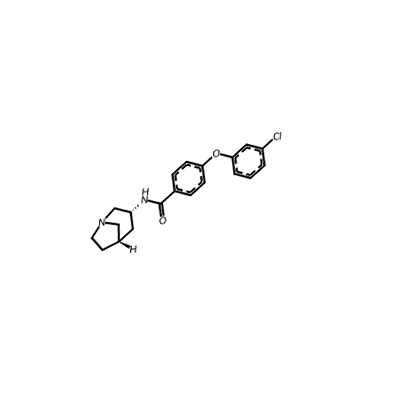 O=C(N[C@@H]1C[C@@H]2CCN(C2)C1)c1ccc(Oc2cccc(Cl)c2)cc1